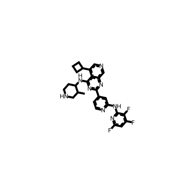 CC1CNCCC1Nc1nc(-c2ccnc(Nc3nc(F)cc(F)c3F)c2)nc2cncc(C3CCC3)c12